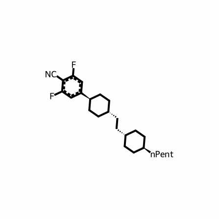 CCCCC[C@H]1CC[C@H](CC[C@H]2CC[C@H](c3cc(F)c(C#N)c(F)c3)CC2)CC1